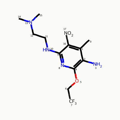 Cc1c(N)c(OCC(F)(F)F)nc(NCCN(C)C)c1[N+](=O)[O-]